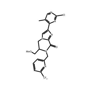 COCC1Cn2cc(-c3nc(Cl)ncc3C)nc2C(=O)N1Cc1cccc(C(F)(F)F)n1